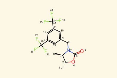 C[C@@H]1[C@@H](C)OC(=O)N1Cc1cc(C(F)(F)F)cc(C(F)(F)F)c1